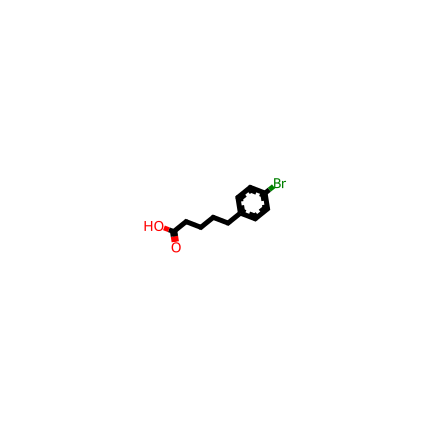 O=C(O)CCCCc1ccc(Br)cc1